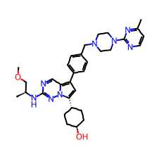 COC[C@H](C)Nc1ncc2c(-c3ccc(CN4CCN(c5nccc(C)n5)CC4)cc3)cc([C@H]3CC[C@H](O)CC3)n2n1